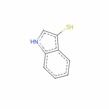 Sc1[c][nH]c2ccccc12